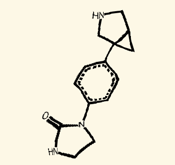 O=C1NCCN1c1ccc(C23CNCC2C3)cc1